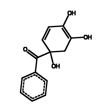 O=C(c1ccccc1)C1(O)C=CC(O)=C(O)C1